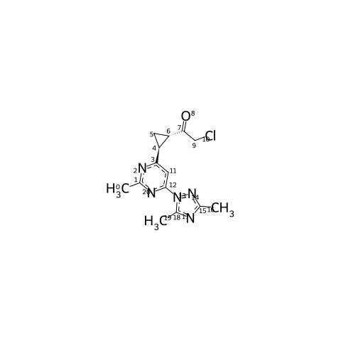 Cc1nc([C@H]2C[C@@H]2C(=O)CCl)cc(-n2nc(C)nc2C)n1